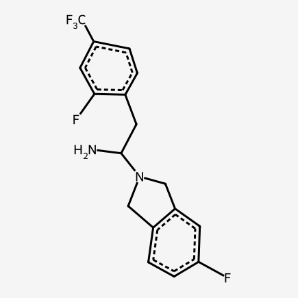 NC(Cc1ccc(C(F)(F)F)cc1F)N1Cc2ccc(F)cc2C1